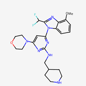 COc1cccc2c1nc(C(F)F)n2-c1cc(N2CCOCC2)nc(NCC2CCNCC2)n1